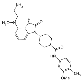 COc1cc(NC(=O)C2CCC(n3c(=O)[nH]c4c(N(C)CCN)cccc43)CC2)ccc1C